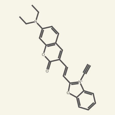 C#C[n+]1c(/C=C/c2cc3ccc(N(CC)CC)cc3oc2=O)oc2ccccc21